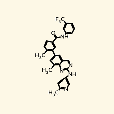 Cc1ccc(Nc2ncc3cc(-c4cc(C(=O)Nc5cccc(C(F)(F)F)c5)ccc4C)cc(C)c3n2)cn1